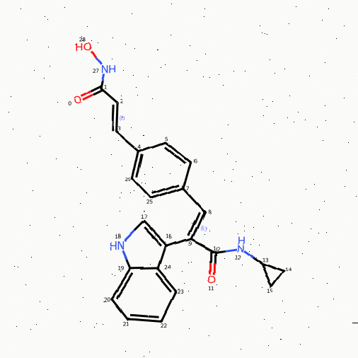 O=C(/C=C/c1ccc(/C=C(/C(=O)NC2CC2)c2c[nH]c3ccccc23)cc1)NO